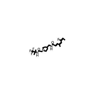 C\C=C(F)/C=C(C)\C=C\C(=O)NCC1CCN(CC(=O)NC(C)(C)C(F)(F)F)CC1